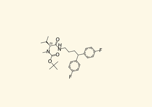 CC(C)[C@@H](C(=O)NCCCC(c1ccc(F)cc1)c1ccc(F)cc1)N(C)C(=O)OC(C)(C)C